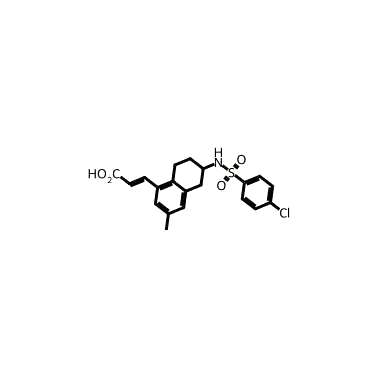 Cc1cc(/C=C/C(=O)O)c2c(c1)CC(NS(=O)(=O)c1ccc(Cl)cc1)CC2